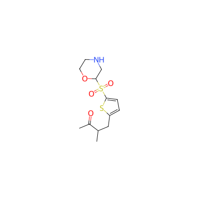 CC(=O)C(C)Cc1ccc(S(=O)(=O)C2CNCCO2)s1